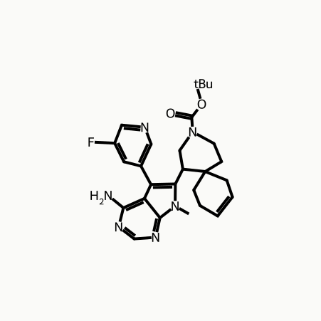 Cn1c(C2CN(C(=O)OC(C)(C)C)CCC23CC=CCC3)c(-c2cncc(F)c2)c2c(N)ncnc21